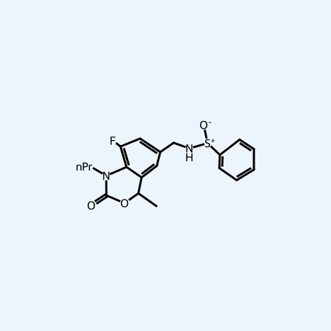 CCCN1C(=O)OC(C)c2cc(CN[S+]([O-])c3ccccc3)cc(F)c21